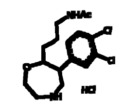 CC(=O)NCCCC1OCCNCC1c1ccc(Cl)c(Cl)c1.Cl